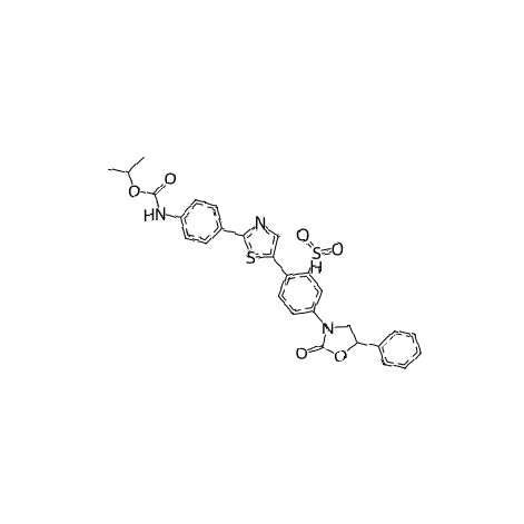 CC(C)OC(=O)Nc1ccc(-c2ncc(-c3ccc(N4CC(c5ccccc5)OC4=O)cc3[SH](=O)=O)s2)cc1